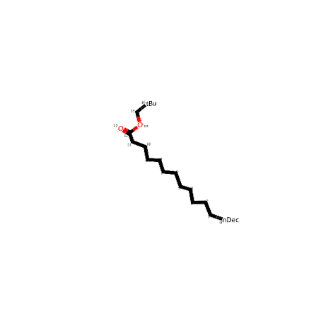 CCCCCCCCCCCCCCCCCCCCCC(=O)OCC(C)(C)C